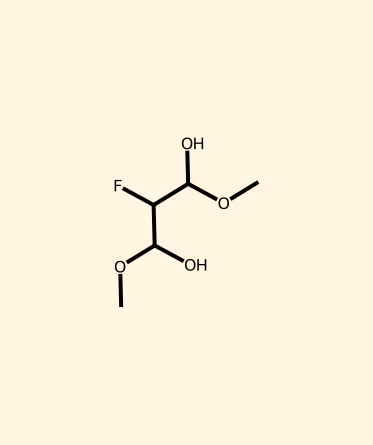 COC(O)C(F)C(O)OC